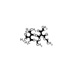 C=C(C)C(=O)C(C(C)=O)C(C)=O.C=CC(=O)C(C(=O)OCC)C(=O)OCC